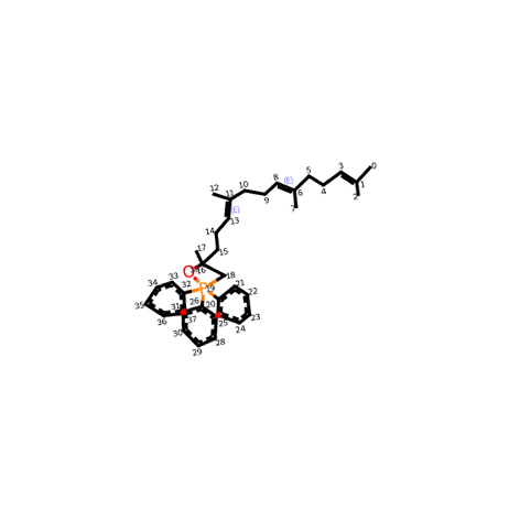 CC(C)=CCC/C(C)=C/CC/C(C)=C/CCC1(C)CP(c2ccccc2)(c2ccccc2)(c2ccccc2)O1